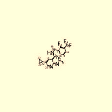 Cc1nc(N[C@H](C)c2cccc(C(F)F)c2F)c2cc(C3CC3)cnc2n1